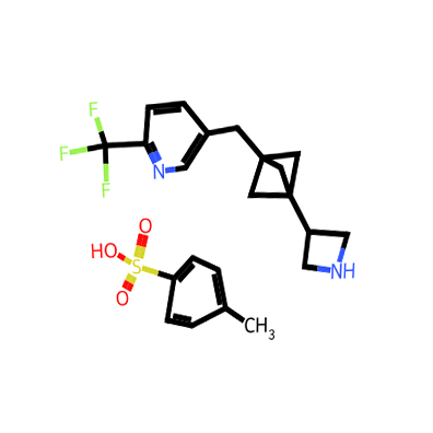 Cc1ccc(S(=O)(=O)O)cc1.FC(F)(F)c1ccc(CC23CC(C4CNC4)(C2)C3)cn1